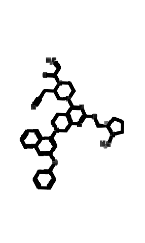 C=CC(=O)N1CCN(c2nc(OC[C@H]3CCCN3C)nc3c2CCN(c2cc(Oc4ccccc4)cc4ccccc24)C3)CC1CC#N